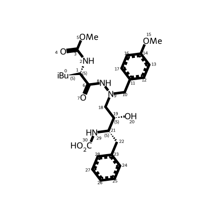 CC[C@H](C)[C@H](NC(=O)OC)C(=O)NN(Cc1ccc(OC)cc1)C[C@H](O)[C@H](Cc1ccccc1)NC(=O)O